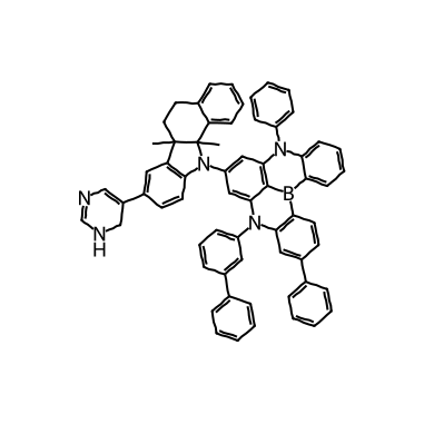 CC12CCc3ccccc3C1(C)N(c1cc3c4c(c1)N(c1cccc(-c5ccccc5)c1)c1cc(-c5ccccc5)ccc1B4c1ccccc1N3c1ccccc1)c1ccc(C3=CN=CNC3)cc12